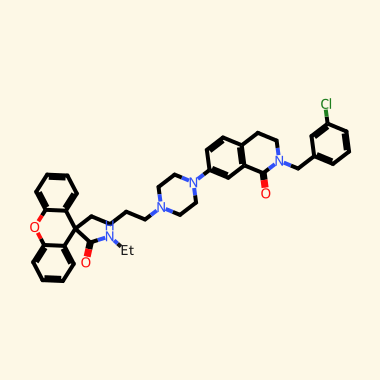 CCNC(=O)C1(CCCCN2CCN(c3ccc4c(c3)C(=O)N(Cc3cccc(Cl)c3)CC4)CC2)c2ccccc2Oc2ccccc21